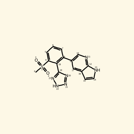 CS(=O)(=O)c1cccc(-c2cnc3[nH]ccc3c2)c1-c1nn[nH]n1